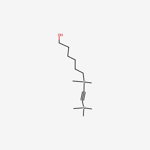 C[Si](C)(C)C#C[Si](C)(C)CCCCCCO